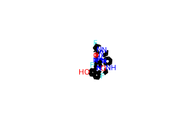 C=CC(=O)NC1CCCCN(c2nc(OC[C@]3(C)C[C@@H](F)CN3c3ncccn3)nc3c(F)c(-c4cc(O)cc5ccc(F)c(C)c45)ncc23)C1